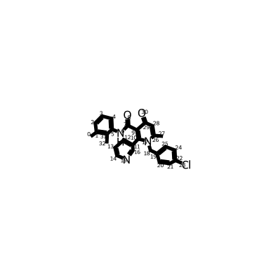 Cc1cccc(NC(=O)c2c(-c3cccnc3)n(Cc3ccc(Cl)cc3)c(C)cc2=O)c1C